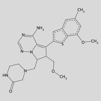 COCC1C(c2cc3cc(C)cc(OC)c3s2)=C2C(N)=NC=NN2C1CN1CCNC(=O)C1